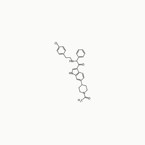 CC(=O)N1CCC(c2ccc3c(C(=O)C(NCCc4ccc(Cl)cc4)c4ccccc4)c[nH]c3c2)CC1